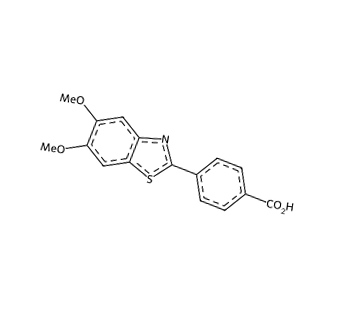 COc1cc2nc(-c3ccc(C(=O)O)cc3)sc2cc1OC